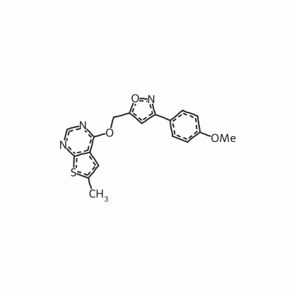 COc1ccc(-c2cc(COc3ncnc4sc(C)cc34)on2)cc1